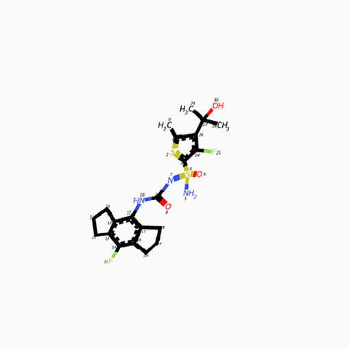 Cc1sc(S(N)(=O)=NC(=O)Nc2c3c(c(F)c4c2CCC4)CCC3)c(F)c1C(C)(C)O